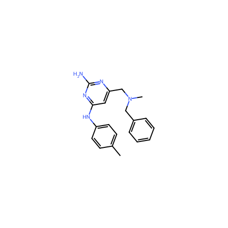 Cc1ccc(Nc2cc(CN(C)Cc3ccccc3)nc(N)n2)cc1